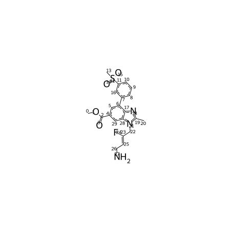 COC(=O)c1cc(-c2cccc(S(C)(=O)=O)c2)c2nc(C)n(C/C(F)=C/CN)c2c1